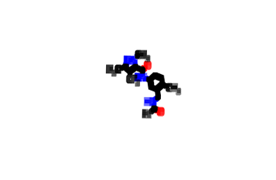 CCC(=O)NCc1cc(NC(=O)c2c(C(F)(F)F)c(C)nn2C)ccc1C